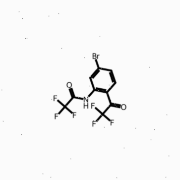 O=C(Nc1cc(Br)ccc1C(=O)C(F)(F)F)C(F)(F)F